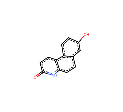 O=c1ccc2c(ccc3cc(O)ccc32)[nH]1